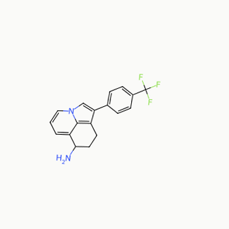 NC1CCc2c(-c3ccc(C(F)(F)F)cc3)cn3cccc1c23